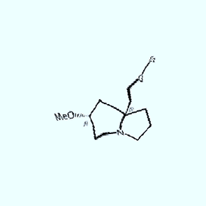 CCOC[C@@]12CCCN1C[C@H](OC)C2